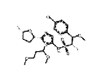 COCCC(OC)n1c(NS(=O)(=O)[C@@H](C)[C@H](OC)c2ccc(Cl)cn2)nnc1[C@@H]1CC[C@H](C)O1